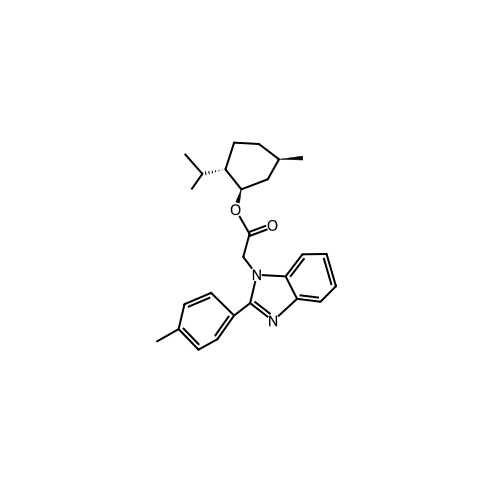 Cc1ccc(-c2nc3ccccc3n2CC(=O)O[C@@H]2C[C@H](C)CC[C@H]2C(C)C)cc1